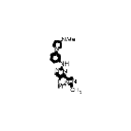 CN[C@H]1CCN(c2[c]ccc(Nc3ncc(F)c(-c4cnc(C)n4C(C)C)n3)c2)C1